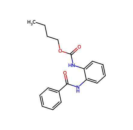 CCCCOC(=O)Nc1ccccc1NC(=O)c1ccccc1